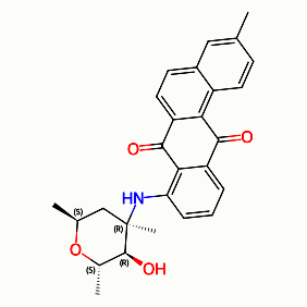 Cc1ccc2c3c(ccc2c1)C(=O)c1c(N[C@]2(C)C[C@H](C)O[C@@H](C)[C@@H]2O)cccc1C3=O